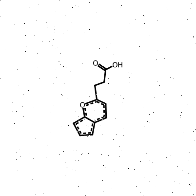 O=C(O)CCc1ccc2cccc-2o1